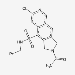 CC(C)CNS(=O)(=O)c1c2c(cc3cnc(Cl)cc13)CN(C(=O)C(F)(F)F)C2